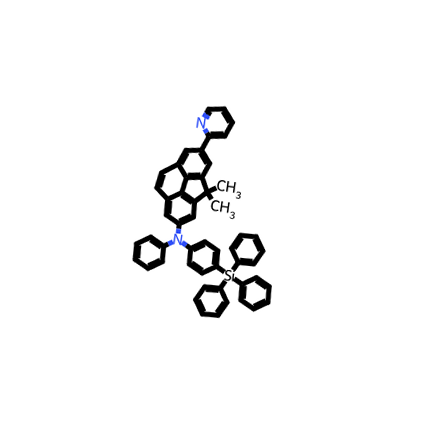 CC1(C)c2cc(-c3ccccn3)cc3ccc4cc(N(c5ccccc5)c5ccc([Si](c6ccccc6)(c6ccccc6)c6ccccc6)cc5)cc1c4c23